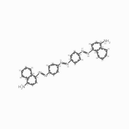 Nc1ccc(N=Nc2ccc(/N=N/c3ccc(N=Nc4ccc(N)c5ccccc45)cc3)cc2)c2ccccc12